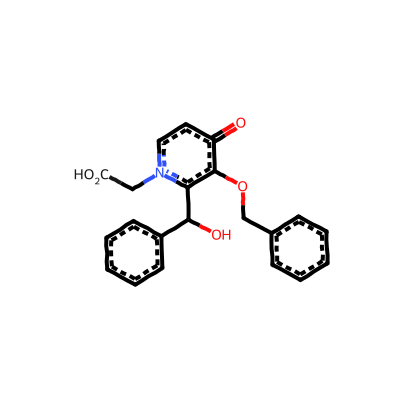 O=C(O)Cn1ccc(=O)c(OCc2ccccc2)c1C(O)c1ccccc1